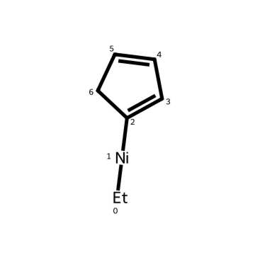 C[CH2][Ni][C]1=CC=CC1